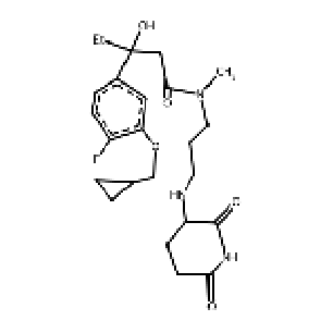 CCC(O)(CC(=O)N(C)CCCNC1CCC(=O)NC1=O)c1ccc(F)c(OCC2CC2)c1